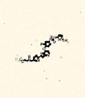 COCCNCc1ccc(-c2cc3nccc(Oc4ccc(NC(=O)Nc5ccn(C)n5)cc4F)c3s2)nc1